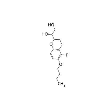 CCCCOc1ccc2c(c1F)CC[C@H]([C@@H](O)CO)O2